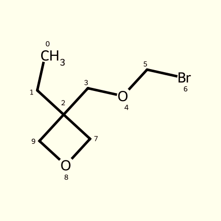 CCC1(COCBr)COC1